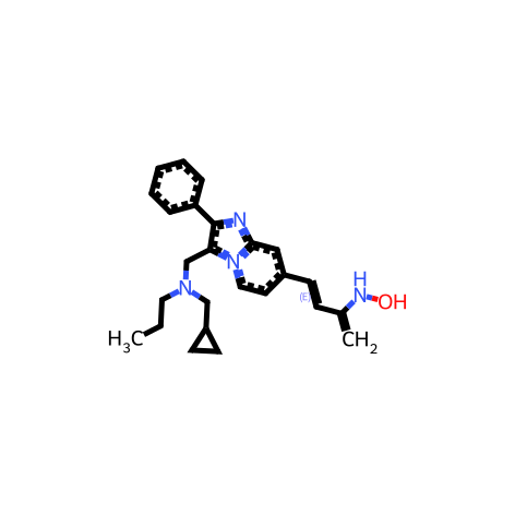 C=C(/C=C/c1ccn2c(CN(CCC)CC3CC3)c(-c3ccccc3)nc2c1)NO